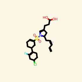 C=C/C=C\CC1CC(CCC(O)O)=CN1S(=O)(=O)C1=CCCC(C2=C(F)CC(Cl)CC2)C1